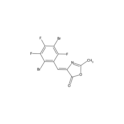 CC1=N/C(=C\c2c(F)c(Br)c(F)c(F)c2Br)C(=O)O1